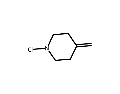 C=C1CCN(Cl)CC1